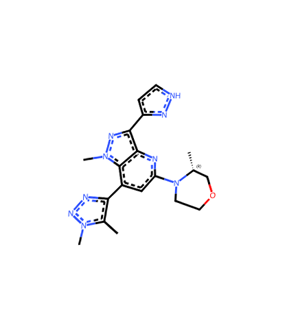 Cc1c(-c2cc(N3CCOC[C@H]3C)nc3c(-c4cc[nH]n4)nn(C)c23)nnn1C